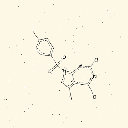 Cc1ccc(S(=O)(=O)n2cc(C)c3c(Cl)nc(Cl)nc32)cc1